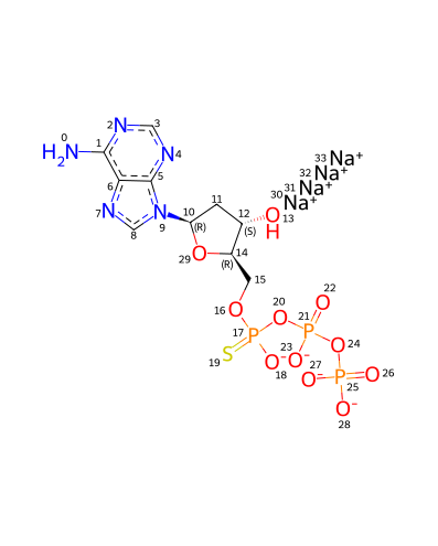 Nc1ncnc2c1ncn2[C@H]1C[C@H](O)[C@@H](COP([O-])(=S)OP(=O)([O-])OP(=O)([O-])[O-])O1.[Na+].[Na+].[Na+].[Na+]